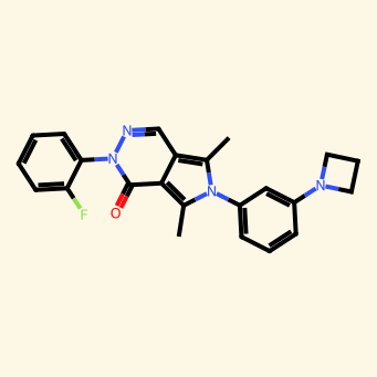 Cc1c2cnn(-c3ccccc3F)c(=O)c2c(C)n1-c1cccc(N2CCC2)c1